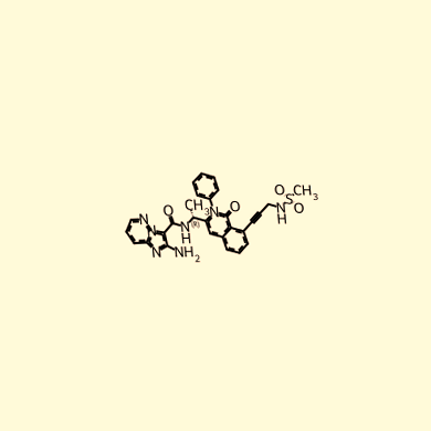 C[C@@H](NC(=O)c1c(N)nc2cccnn12)c1cc2cccc(C#CCNS(C)(=O)=O)c2c(=O)n1-c1ccccc1